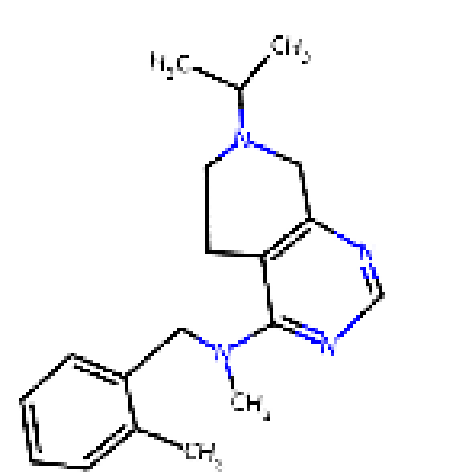 Cc1ccccc1CN(C)c1ncnc2c1CCN(C(C)C)C2